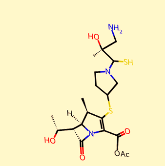 CC(=O)OC(=O)C1=C(SC2CCN(C(S)[C@@](C)(O)CN)C2)[C@H](C)[C@@H]2[C@@H]([C@@H](C)O)C(=O)N12